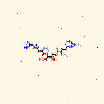 N=C(N)NCCCC(N)C(=O)OCC(O)C(CO)OC(=O)C(N)CCCNC(=N)N